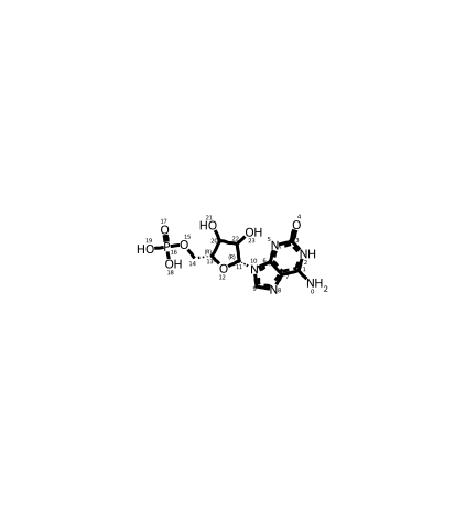 Nc1[nH]c(=O)nc2c1ncn2[C@@H]1O[C@H](COP(=O)(O)O)C(O)C1O